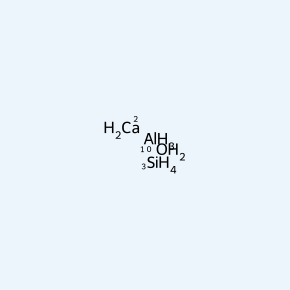 O.[AlH3].[CaH2].[SiH4]